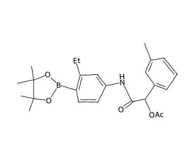 CCc1cc(NC(=O)C(OC(C)=O)c2cccc(C)c2)ccc1B1OC(C)(C)C(C)(C)O1